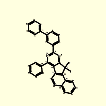 CC1(C)c2nc(-c3cccc(-c4ccccc4)c3)nc(-c3ccccc3)c2-c2ccc3ccccc3c21